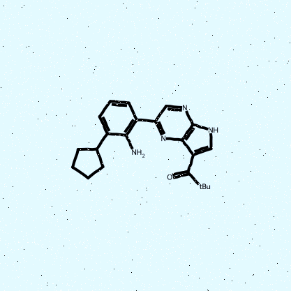 CC(C)(C)C(=O)c1c[nH]c2ncc(-c3cccc(C4CCCC4)c3N)nc12